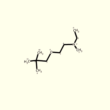 CCN(C)CCOCC(C)(C)C